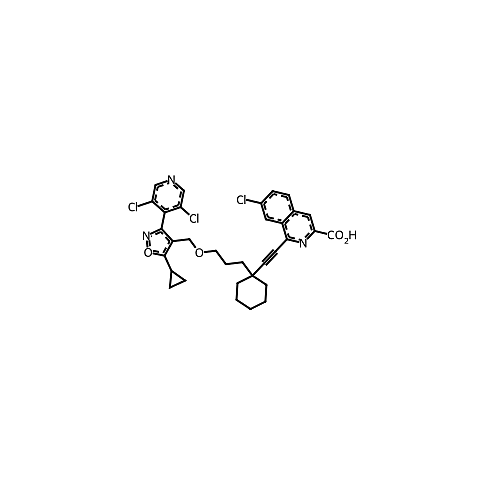 O=C(O)c1cc2ccc(Cl)cc2c(C#CC2(CCCOCc3c(-c4c(Cl)cncc4Cl)noc3C3CC3)CCCCC2)n1